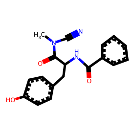 CN(C#N)C(=O)C(Cc1ccc(O)cc1)NC(=O)c1ccccc1